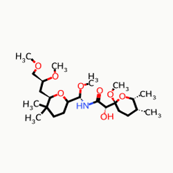 COC[C@H](C[C@H]1OC([C@@H](NC(=O)[C@@H](O)[C@@]2(OC)CC[C@@H](C)[C@@H](C)O2)OC)CCC1(C)C)OC